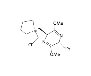 COC1=N[C@H](C(C)C)C(OC)=N[C@H]1C[Si]1(CCl)CCCC1